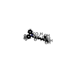 CS(=O)(=O)c1ccc(/C(COC(=O)OCCCC(CON(O)O)ON(O)O)=C(/C(=O)O)c2ccccc2)cc1